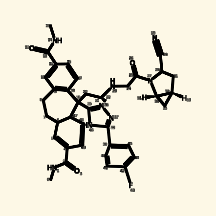 CNC(=O)C1=CC2CCc3cc(C(=O)NC)ccc3C(C[C@H](C)NCC(=O)N3C(C#N)C[C@@H]4C[C@@H]43)(c3nnc(-c4ccc(F)cc4)[nH]3)C2C=C1